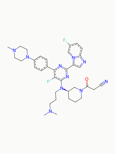 CN(C)CCCN(c1nc(-c2cnc3ccc(F)cn23)nc(-c2ccc(N3CCN(C)CC3)cc2)c1F)[C@@H]1CCCN(C(=O)CC#N)C1